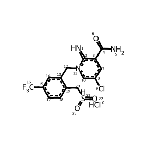 Cl.N=c1c(C(N)=O)cc(Cl)cn1Cc1cc(C(F)(F)F)ccc1C[SH](=O)=O